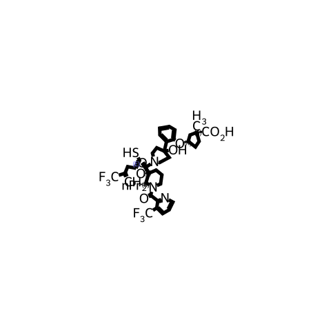 C=C(C/C(=C\S)O[C@@]1(C(=O)N2CCC(O)(c3ccccc3O[C@@H]3CC[C@](C)(C(=O)O)C3)CC2)CCCN(C(=O)c2ncccc2C(F)(F)F)[C@@H]1CCC)C(F)(F)F